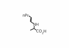 CCC/C=C/NC(C)C(=O)O